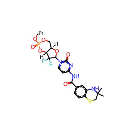 CC(C)OP1(=O)OC[C@H]2OC(n3ccc(NC(=O)c4ccc5c(c4)NC(C)(C)CS5)nc3=O)C(F)(F)[C@@H]2O1